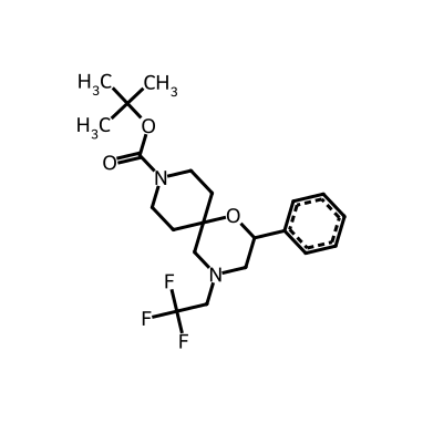 CC(C)(C)OC(=O)N1CCC2(CC1)CN(CC(F)(F)F)CC(c1ccccc1)O2